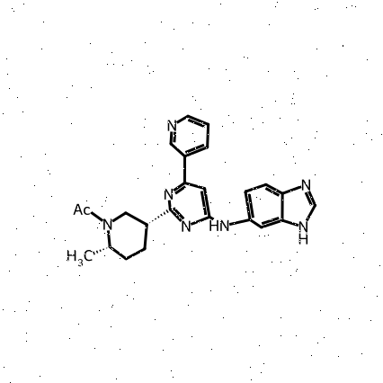 CC(=O)N1C[C@H](c2nc(Nc3ccc4nc[nH]c4c3)cc(-c3cccnc3)n2)CC[C@@H]1C